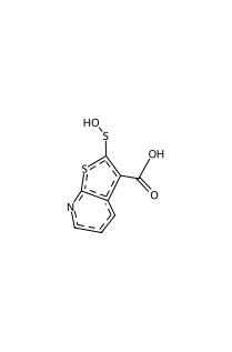 O=C(O)c1c(SO)sc2ncccc12